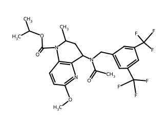 COc1ccc2c(n1)C(N(Cc1cc(C(F)(F)F)cc(C(F)(F)F)c1)C(C)=O)CC(C)N2C(=O)OC(C)C